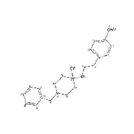 COc1ccc(CCNC2(C#N)CCN(Cc3ccccc3)CC2)cc1